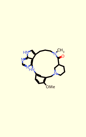 COc1ccc2cc1CN1CCCC(C1)C(=O)N(C)CCCc1c[nH]c3ncnc(c13)N2